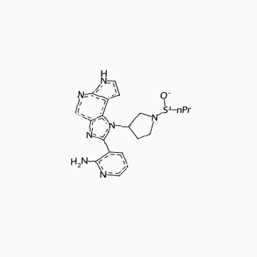 CCC[S+]([O-])N1CCC(n2c(-c3cccnc3N)nc3cnc4[nH]ccc4c32)C1